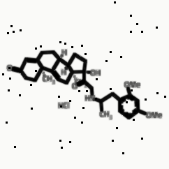 COc1ccc(CC(C)NCC(=O)[C@@]2(O)CC[C@H]3[C@@H]4CCC5=CC(=O)CC[C@]5(C)C4=CC[C@@]32C)c(OC)c1.Cl